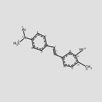 CC(=O)N(C)c1ccc(/C=C/c2ccc(C)c([18F])c2)cc1